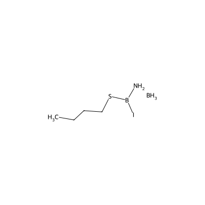 B.CCCCSB(N)I